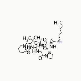 CCCCC/C=C\C1C[C@]1(NC(=O)[C@@H]1CCCN1C(=O)CNC(=O)NC(CN1CCCCS1(=O)=O)C(C)(C)C)C(=O)O